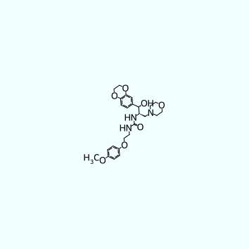 COc1ccc(OCCNC(=O)N[C@H](CN2CCOCC2)[C@H](O)c2ccc3c(c2)OCCO3)cc1